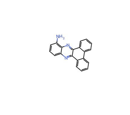 Nc1cccc2nc3c4ccccc4c4ccccc4c3nc12